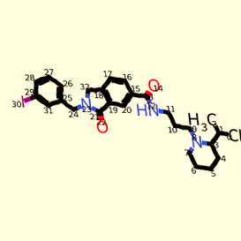 CC(C)C1CCCCN1CCCNC(=O)c1ccc2c(c1)C(=O)N(Cc1cccc(I)c1)C2